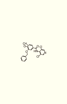 COc1ccc(C(=O)Nc2c(Cl)cncc2Cl)cc1OCc1ccccc1